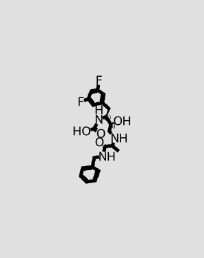 CC(NC[C@H](O)[C@H](Cc1cc(F)cc(F)c1)NC(=O)O)C(=O)NCc1ccccc1